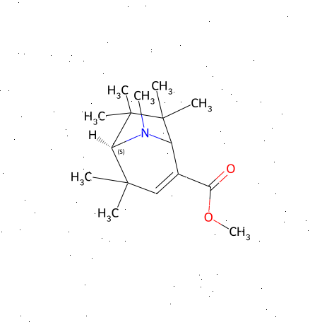 COC(=O)C1=CC(C)(C)[C@@H]2N(C)C1C(C)(C)C2(C)C